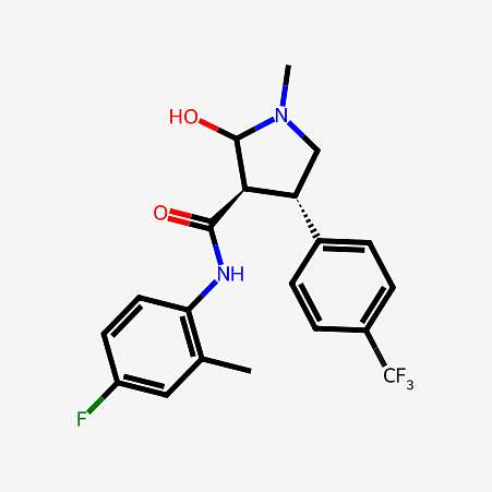 Cc1cc(F)ccc1NC(=O)[C@H]1C(O)N(C)C[C@@H]1c1ccc(C(F)(F)F)cc1